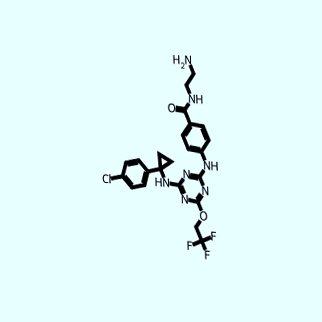 NCCNC(=O)c1ccc(Nc2nc(NC3(c4ccc(Cl)cc4)CC3)nc(OCC(F)(F)F)n2)cc1